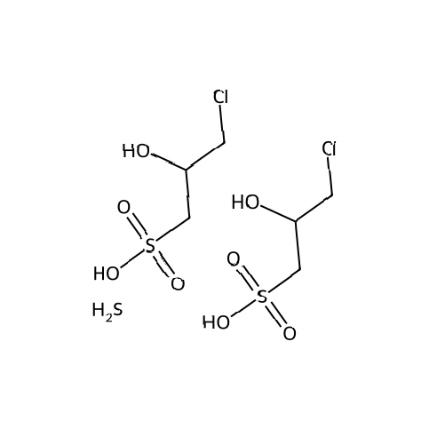 O=S(=O)(O)CC(O)CCl.O=S(=O)(O)CC(O)CCl.S